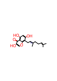 CC(C)=CCC/C(C)=C/Cc1c(O)cc(O)c2c(=O)c(O)coc12